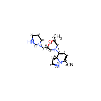 C[C@@H]1CN(c2ccc(C#N)n3nccc23)C[C@H](CN2CCCNC2)O1